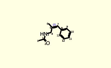 CC(=O)NC/C(C)=C\c1ccccc1